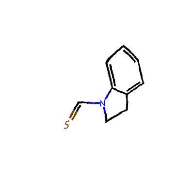 S=CN1CCc2ccccc21